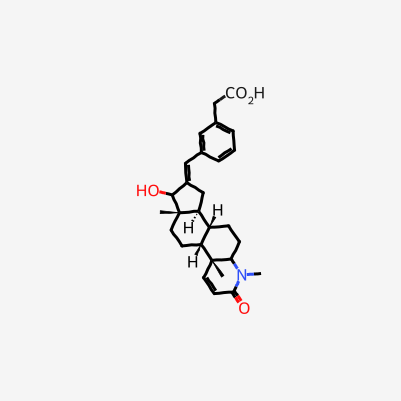 CN1C(=O)C=C[C@@]2(C)C1CC[C@@H]1[C@H]2CC[C@]2(C)C(O)C(=Cc3cccc(CC(=O)O)c3)C[C@@H]12